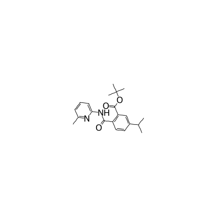 Cc1cccc(NC(=O)c2ccc(C(C)C)cc2C(=O)OC(C)(C)C)n1